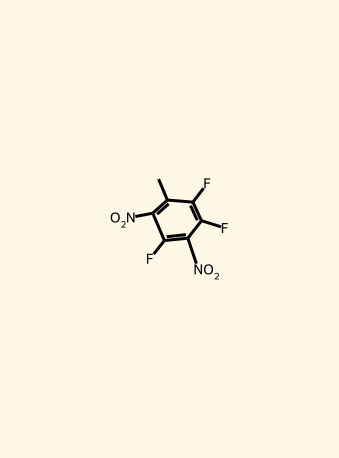 Cc1c(F)c(F)c([N+](=O)[O-])c(F)c1[N+](=O)[O-]